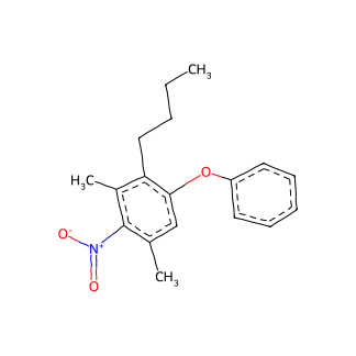 CCCCc1c(Oc2ccccc2)cc(C)c([N+](=O)[O-])c1C